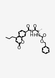 CCCc1cc(=O)oc2cc(C(=O)NC(=O)[C@H](C)NC(=O)OCc3ccccc3)ccc12